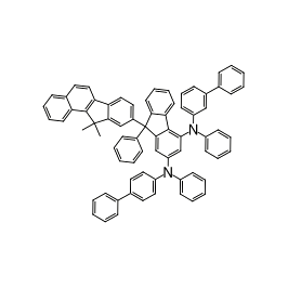 CC1(C)c2cc(C3(c4ccccc4)c4ccccc4-c4c(N(c5ccccc5)c5cccc(-c6ccccc6)c5)cc(N(c5ccccc5)c5ccc(-c6ccccc6)cc5)cc43)ccc2-c2ccc3ccccc3c21